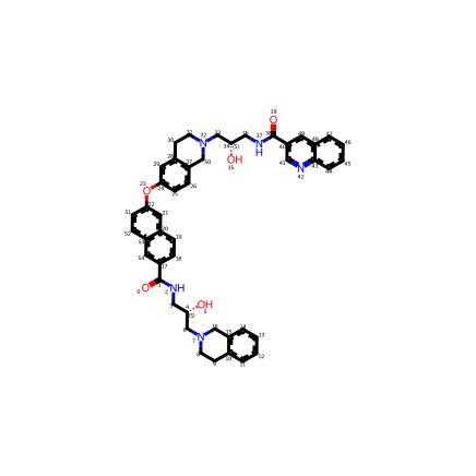 O=C(NC[C@H](O)CN1CCc2ccccc2C1)c1ccc2cc(Oc3ccc4c(c3)CCN(C[C@@H](O)CNC(=O)c3cnc5ccccc5c3)C4)ccc2c1